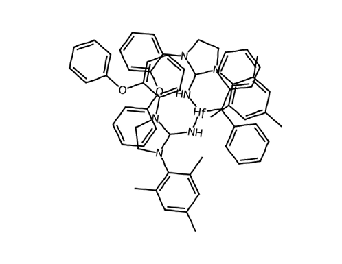 Cc1cc(C)c(N2CCN(c3ccccc3Oc3ccccc3)C2[NH][Hf]([NH]C2N(c3ccccc3Oc3ccccc3)CCN2c2c(C)cc(C)cc2C)[CH](c2ccccc2)c2ccccc2)c(C)c1